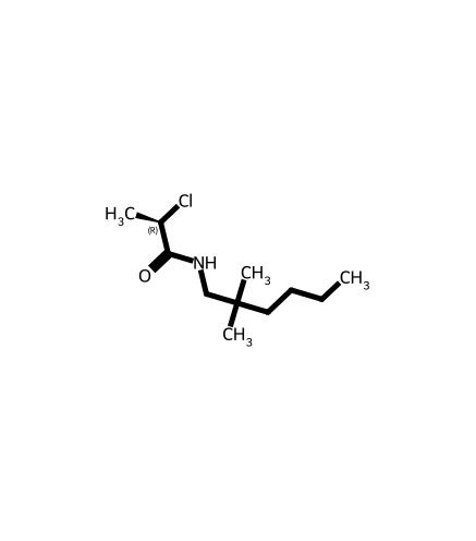 CCCCC(C)(C)CNC(=O)[C@@H](C)Cl